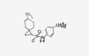 COc1ccc(NS(=O)(=O)C2CC23CCC(C)CC3)cc1